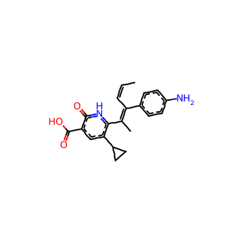 C/C=C\C(=C(\C)c1[nH]c(=O)c(C(=O)O)cc1C1CC1)c1ccc(N)cc1